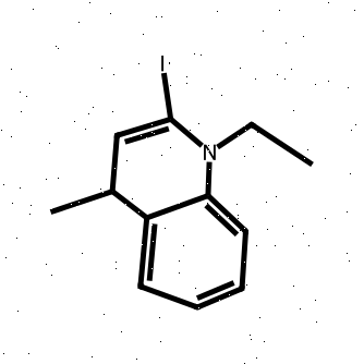 CCN1C(I)=CC(C)c2ccccc21